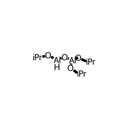 CC(C)[O][AlH][O][Al]([O]C(C)C)[O]C(C)C